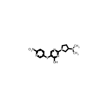 CN(C)C1CCN(c2ncc(Sc3ccc([N+](=O)[O-])nc3)c(O)n2)C1